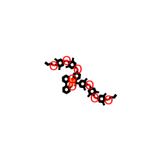 C=CCOc1c(C)cc(Oc2c(C)cc(Oc3ccc(C(C)(c4cc(C)c(Oc5cc(C)c(Oc6cc(C)c(OCC=C)c(C)c6)c(C)c5)c(C)c4)P4(=O)Oc5ccccc5-c5ccccc54)cc3)cc2C)cc1C